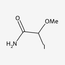 COC(I)C(N)=O